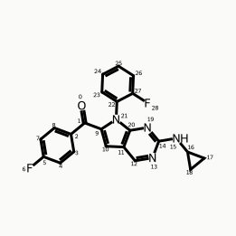 O=C(c1ccc(F)cc1)c1cc2cnc(NC3CC3)nc2n1-c1ccccc1F